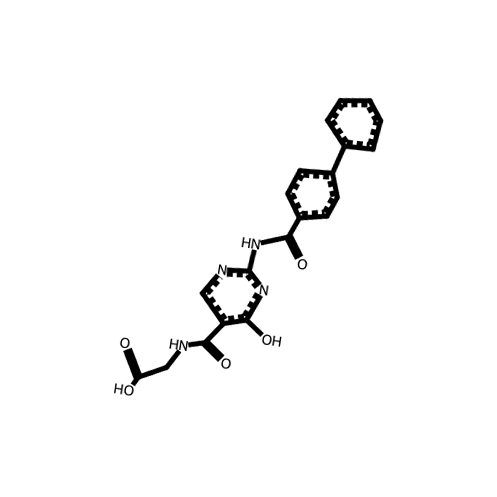 O=C(O)CNC(=O)c1cnc(NC(=O)c2ccc(-c3ccccc3)cc2)nc1O